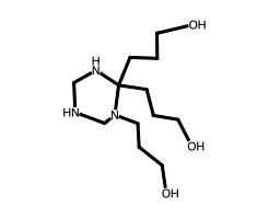 OCCCN1CNCNC1(CCCO)CCCO